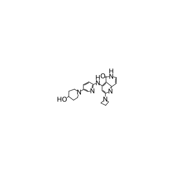 O=c1[nH]ccc2nc(N3CCC3)cc(Nc3ccc(N4CCC(O)CC4)cn3)c12